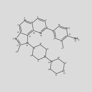 Cc1cc(-c2ccc3ncc4nc(C)n(C5CCC(N6CCOCC6)CC5)c4c3n2)cnc1N